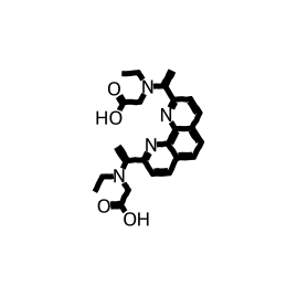 C=C(c1ccc2ccc3ccc(C(=C)N(CC)CC(=O)O)nc3c2n1)N(CC)CC(=O)O